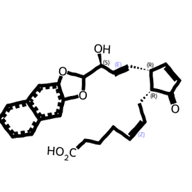 O=C(O)CCC/C=C\C[C@H]1C(=O)C=C[C@H]1/C=C/[C@H](O)C1Oc2cc3ccccc3cc2O1